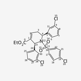 CCOC(=O)C1=CC[C@@H](c2cccc(Cl)c2)N(S(=O)(=O)c2ccc(Cl)cc2)[C@H]1c1cccc(Cl)c1